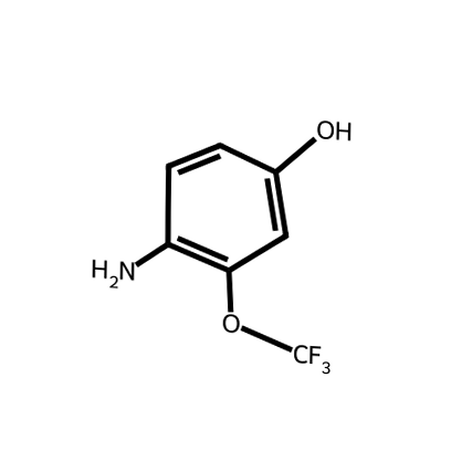 Nc1ccc(O)cc1OC(F)(F)F